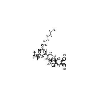 CCCCCCCSc1nc(C(/C=C\Cc2ccc(OC)c(OC)c2)=C/NC=O)cc(C(F)(F)F)n1